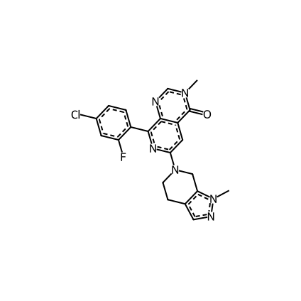 Cn1ncc2c1CN(c1cc3c(=O)n(C)cnc3c(-c3ccc(Cl)cc3F)n1)CC2